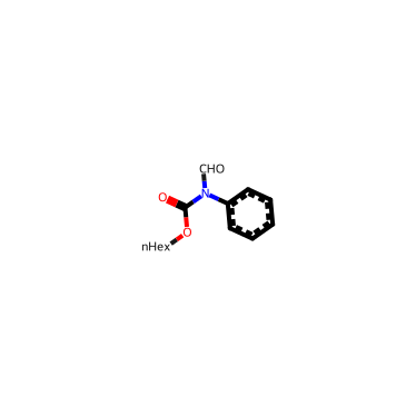 CCCCCCOC(=O)N(C=O)c1ccccc1